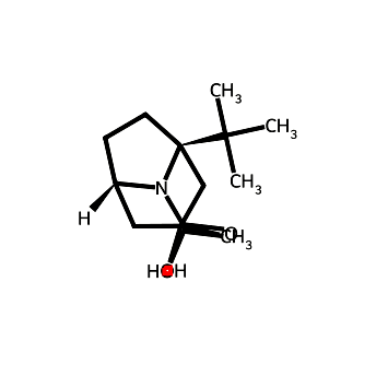 CC1(O)C[C@@H]2CC[C@](C(C)(C)C)(C1)N2C(=O)O